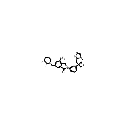 C[C@@H]1CCCN(Cc2cc3c(c(C(F)(F)F)c2)CN(c2cccc(C4(Cc5nncn5C)COC4)c2)C3=O)[C@@H]1C